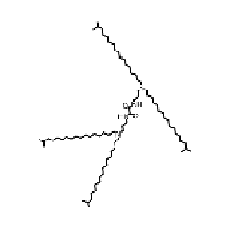 CC(C)CCCCCCCCCCCCCCCN(CCCCCCCCCCCCCCCC(C)C)CCCNC(=O)C(=O)NCCCN(CCCCCCCCCCCCCCCC(C)C)CCCCCCCCCCCCCCCC(C)C